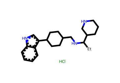 CCC(NCC1CCC(c2c[nH]c3ccccc23)CC1)C1CCCNC1.Cl